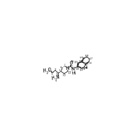 C=CCC(N)C1CCN(C(=O)Nc2cnc3ccccc3c2)CC1